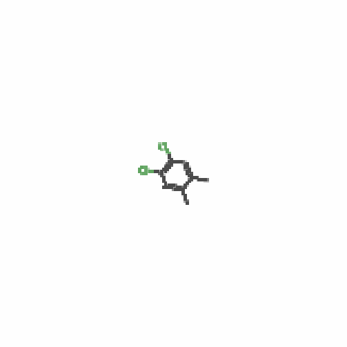 Cc1[c]c(Cl)c(Cl)cc1C